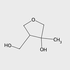 CC1(O)COCC1CO